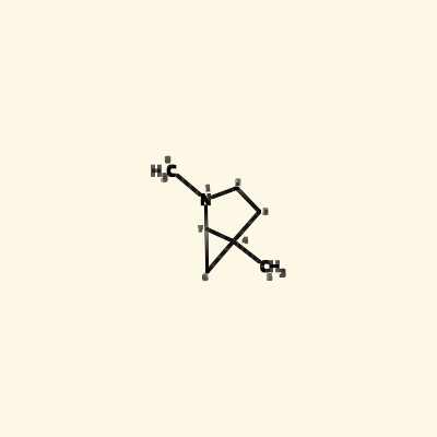 CN1CCC2(C)CC12